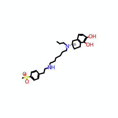 CCCN(CCCCCCNCCc1ccc(S(C)(=O)=O)cc1)[C@H]1CCc2c(ccc(O)c2O)C1